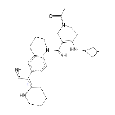 CC(=O)N1CCC(NC2COC2)=C(C(=N)N2CCCc3cc(/C(C=N)=C4\CCCCN4)ccc32)C1